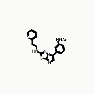 CC(=O)Nc1cccc(-c2cnc3sc(NCCc4ccccn4)nn23)c1